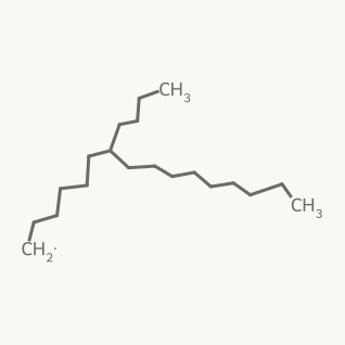 [CH2]CCCCCC(CCCC)CCCCCCCCC